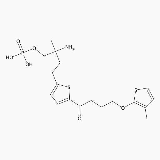 Cc1ccsc1OCCCC(=O)c1ccc(CCC(C)(N)COP(=O)(O)O)s1